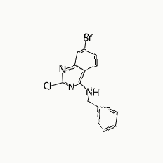 Clc1nc(NCc2ccccc2)c2ccc(Br)cc2n1